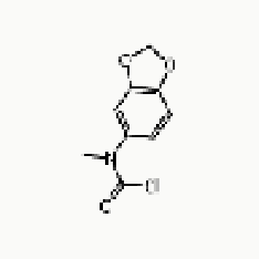 CN(C(=O)Cl)c1ccc2c(c1)OCO2